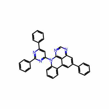 c1ccc(-c2cc3c4c(ncnc4c2)N(c2cc(-c4ccccc4)nc(-c4ccccc4)n2)c2ccccc2-3)cc1